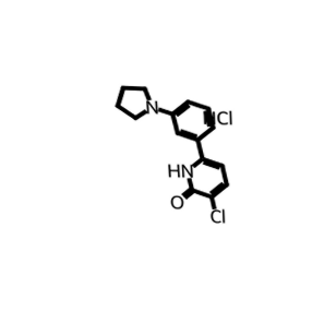 Cl.O=c1[nH]c(-c2cccc(N3CCCC3)c2)ccc1Cl